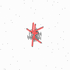 CCCCCCCCCCCCCC(=O)O[C@H](CCCCCCCCCCC)CC(=O)NC1C(OC(=O)C[C@@H](CCCCCCCCCCC)OC(=O)CCCCCCCCCCCCC)[C@H](OP(=O)(O)OC)C(CO)O[C@H]1OCC1O[C@H](O)C(NC(=O)C[C@H](O)CCCCCCCCCCC)C(OC(=O)C[C@H](O)CCCCCCCCCCC)[C@@H]1O